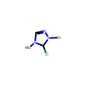 CCN1N=CN(C(C)(C)C)C1Cl